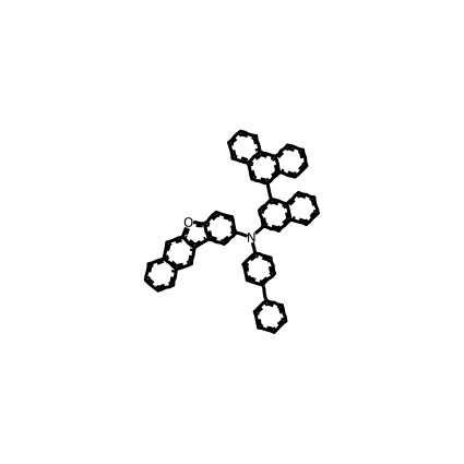 c1ccc(-c2ccc(N(c3cc(-c4cc5ccccc5c5ccccc45)c4ccccc4c3)c3ccc4oc5cc6ccccc6cc5c4c3)cc2)cc1